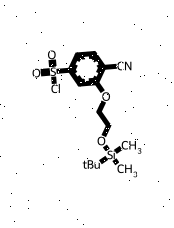 CC(C)(C)[Si](C)(C)OCCOc1cc(S(=O)(=O)Cl)ccc1C#N